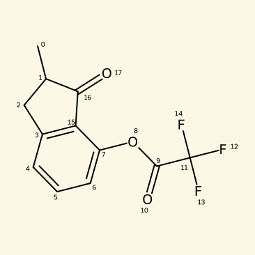 CC1Cc2cccc(OC(=O)C(F)(F)F)c2C1=O